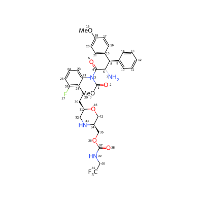 COC(=O)N(C(=O)[C@@H](N)[C@H](c1ccccc1)c1ccc(OC)cc1)c1cccc(F)c1CC[C@@H]1CN[C@H](COC(=O)NCC(F)(F)F)CO1